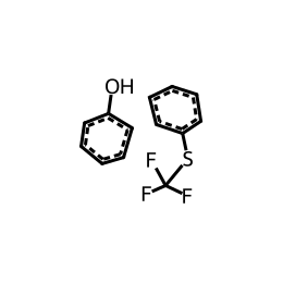 FC(F)(F)Sc1ccccc1.Oc1ccccc1